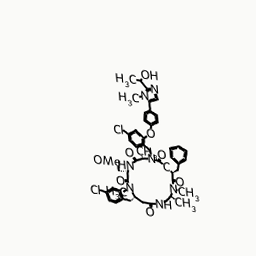 COC[C@@H]1NC(=O)[C@H](C)N(Cc2ccc(Cl)cc2Oc2ccc(-c3cnc(C(C)O)n3C)cc2)C(=O)C[C@@H](Cc2ccccc2)C(=O)N(C)[C@@H](C)CNC(=O)C[C@H](Cc2ccc(Cl)cc2)N(C)C1=O